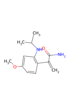 C=C(C(N)=O)c1ccc(OC)cc1NC(C)C